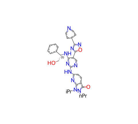 CCCn1c(=O)c2ccc(Nc3ncc(-c4nc(-c5ccncc5)no4)c(N[C@H](CO)c4ccccc4)n3)nc2n1C(C)C